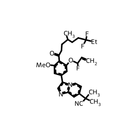 C=CC(F)Oc1cc(-c2cnc3cc(C(C)(C)C#N)ccn23)cc(OC)c1C(=O)CCC(C)CCC(F)(F)CC